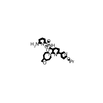 CC(C)Oc1ccc(-c2ccc(C(=O)NS(=O)(=O)c3cccc(N)n3)c(N3CCCC4COC4CC3)n2)cn1